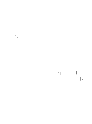 O=[N+]([O-])c1ccc(COCNc2nnn[nH]2)cc1